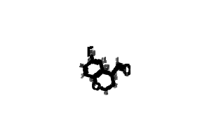 O=CC1CCOc2ccc(F)cc21